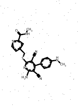 CNC(=O)c1cc(CSc2nc(N)c(C#N)c(-c3ccc(NC)cc3)c2C#N)ccn1